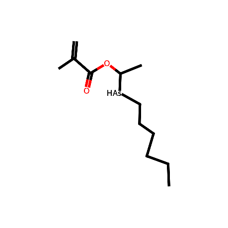 C=C(C)C(=O)OC(C)[AsH]CCCCCC